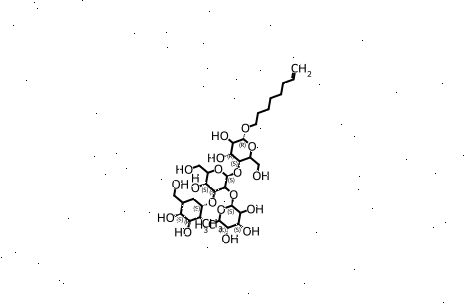 C=CCCCCCCO[C@@H]1OC(CO)[C@@H](O[C@@H]2OC(CO)[C@H](O)[C@H](O[C@H]3CC(CO)[C@H](O)[C@H](O)C3C)C2O[C@@H]2OC(C)[C@@H](O)[C@H](O)C2O)[C@H](O)C1O